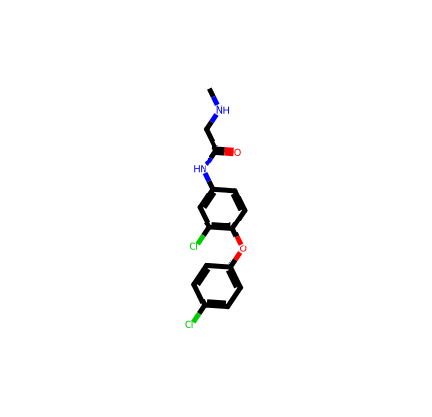 CNCC(=O)Nc1ccc(Oc2ccc(Cl)cc2)c(Cl)c1